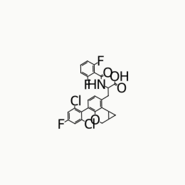 O=C(NC(Cc1ccc(-c2c(Cl)cc(F)cc2Cl)c2c1C1CC1CO2)C(=O)O)c1c(F)cccc1F